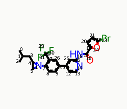 CC(C)CC1CN1c1ccc(-c2ccnc(NC(=O)c3ccc(Br)o3)c2)cc1C(F)(F)F